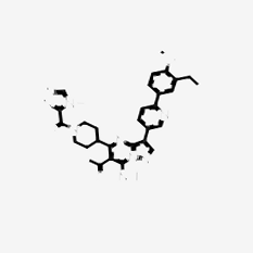 CCc1cc(-c2ccc(-c3cnn4c(N)c(C(C)=O)c(C5CCN(C(=O)c6nnc[nH]6)CC5)nc34)cn2)ccc1OC